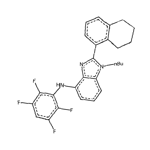 CCCCn1c(-c2cccc3c2CCCC3)nc2c(Nc3c(F)c(F)cc(F)c3F)cccc21